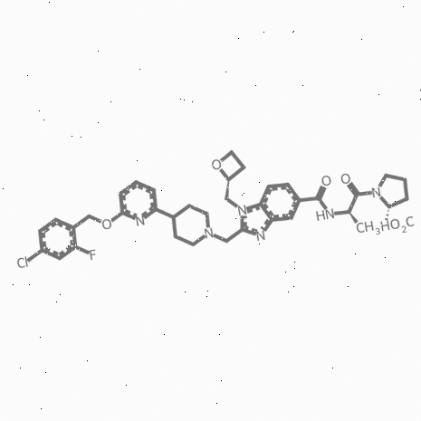 C[C@@H](NC(=O)c1ccc2c(c1)nc(CN1CCC(c3cccc(OCc4ccc(Cl)cc4F)n3)CC1)n2C[C@@H]1CCO1)C(=O)N1CCC[C@@H]1C(=O)O